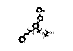 CC1CCCN1C1CCN(c2ccc(NC(=O)/C=C/c3cccnc3)c(C(F)(F)F)c2)C1.O=C(O)C(F)(F)F